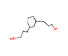 OCCCC1CCCC(CCCO)C1